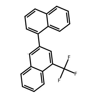 FC(F)(F)c1cc(-c2cccc3ccccc23)[c]c2ccccc12